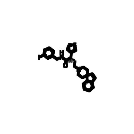 O=C(NCc1cccc(I)c1)[C@@H](CCN1CCC2(C=Cc3ccccc32)CC1)c1ccsc1